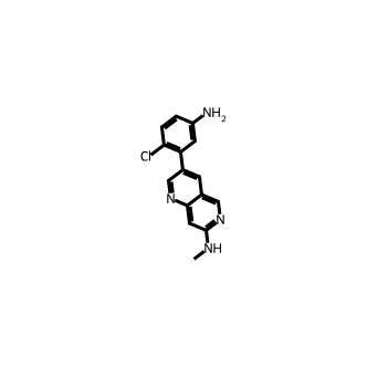 CNc1cc2ncc(-c3cc(N)ccc3Cl)cc2cn1